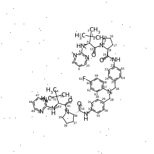 CC(C)(C)[C@H](Nc1ncccn1)C(=O)N1CCC[C@H]1C(=O)Nc1ccc(CN(Cc2ccc(NC(=O)[C@@H]3CCCN3C(=O)[C@@H](Nc3ncccn3)C(C)(C)C)cc2)c2ccc(F)cc2)cc1